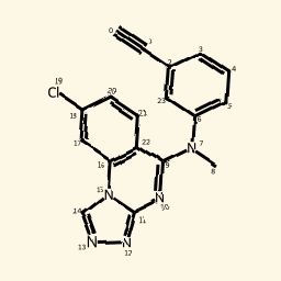 C#Cc1cccc(N(C)c2nc3nncn3c3cc(Cl)ccc23)c1